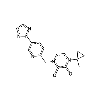 CC1(n2ccn(Cc3ccc(-n4nccn4)cn3)c(=O)c2=O)CC1